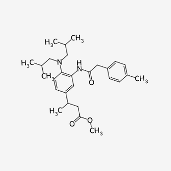 COC(=O)CC(C)c1ccc(N(CC(C)C)CC(C)C)c(NC(=O)Cc2ccc(C)cc2)c1